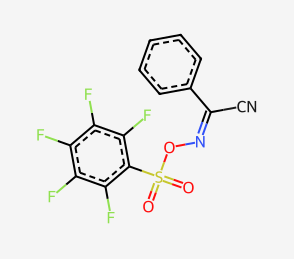 N#CC(=NOS(=O)(=O)c1c(F)c(F)c(F)c(F)c1F)c1ccccc1